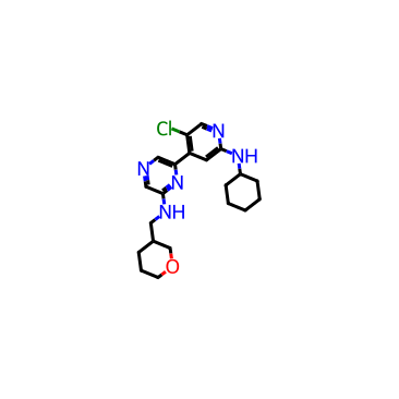 Clc1cnc(NC2CCCCC2)cc1-c1cncc(NCC2CCCOC2)n1